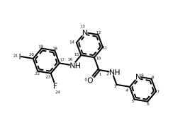 O=C(NCc1ccccn1)c1ccncc1Nc1ccc(I)cc1F